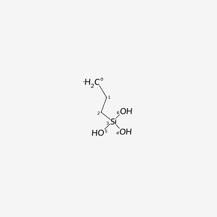 [CH2]CC[Si](O)(O)O